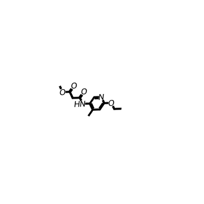 CCOc1cc(C)c(NC(=O)CC(=O)OC)cn1